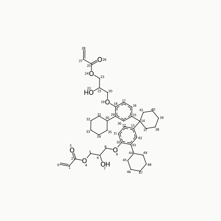 C=CC(=O)OCC(O)COc1ccc(C2(c3ccc(OCC(O)COC(=O)C=C)c(C4CCCCC4)c3)CCCCC2)cc1C1CCCCC1